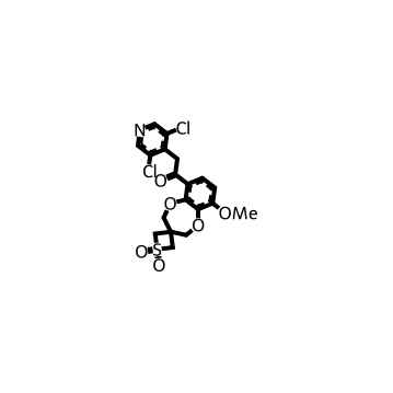 COc1ccc(C(=O)Cc2c(Cl)cncc2Cl)c2c1OCC1(CO2)CS(=O)(=O)C1